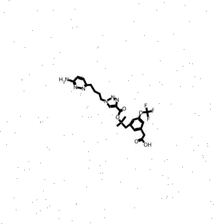 CC(C)(Cc1cc(CC(=O)O)cc(OC(F)(F)F)c1)OC(=O)c1cn(CCCCc2ccc(N)nn2)nn1